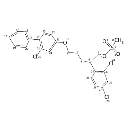 CS(=O)(=O)OCC(CCCOc1ccc(-c2ccccc2)c(Cl)c1)c1ccc(Cl)cc1Cl